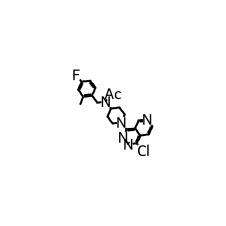 CC(=O)N(Cc1ccc(F)cc1C)C1CCN(c2nnc(Cl)c3ccncc23)CC1